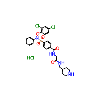 Cl.O=C(CNC(=O)c1ccc(S(=O)(=O)N(Oc2ccc(Cl)cc2Cl)c2ccccc2)cc1)NCC1CCNCC1